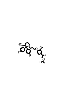 COc1cc(C(=O)COC(C)=O)ccc1OCCCN1CCCC(CO)C1(c1ccc(F)cc1)c1ccc(F)cc1